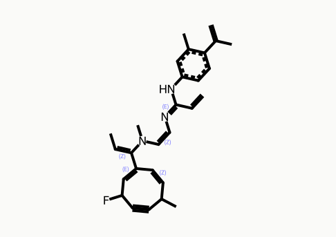 C=C/C(=N\C=C/N(C)C(=C\C)/C1=C/C(F)C#CC(C)/C=C\1)Nc1ccc(C(=C)C)c(C)c1